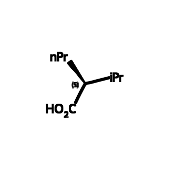 CCC[C@H](C(=O)O)C(C)C